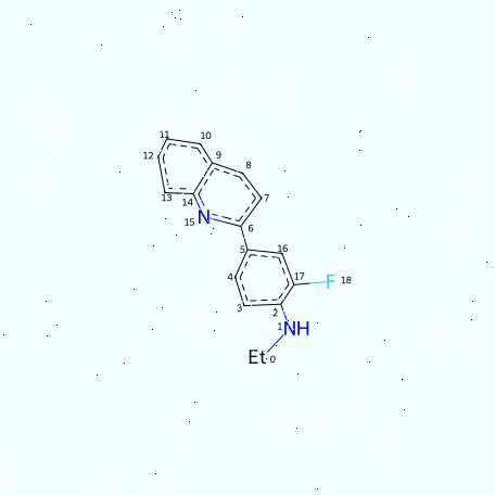 CCNc1ccc(-c2ccc3ccccc3n2)cc1F